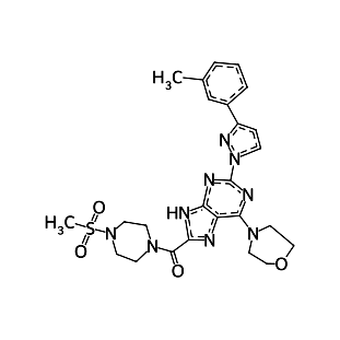 Cc1cccc(-c2ccn(-c3nc(N4CCOCC4)c4nc(C(=O)N5CCN(S(C)(=O)=O)CC5)[nH]c4n3)n2)c1